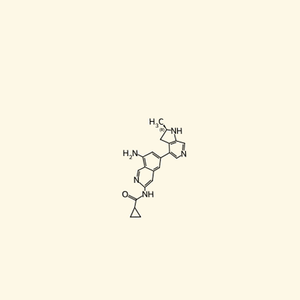 C[C@@H]1Cc2c(cncc2-c2cc(N)c3cnc(NC(=O)C4CC4)cc3c2)N1